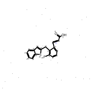 O=C(O)/C=C/c1cccc(F)c1Cc1cc2ccccc2s1